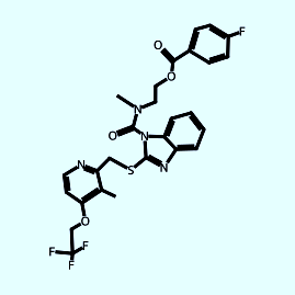 Cc1c(OCC(F)(F)F)ccnc1CSc1nc2ccccc2n1C(=O)N(C)CCOC(=O)c1ccc(F)cc1